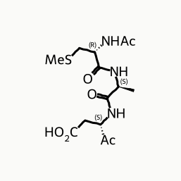 CSC[C@H](NC(C)=O)C(=O)N[C@@H](C)C(=O)N[C@@H](CC(=O)O)C(C)=O